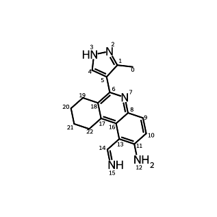 Cc1n[nH]cc1-c1nc2ccc(N)c(C=N)c2c2c1CCCC2